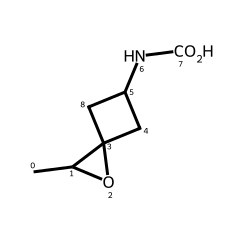 CC1OC12CC(NC(=O)O)C2